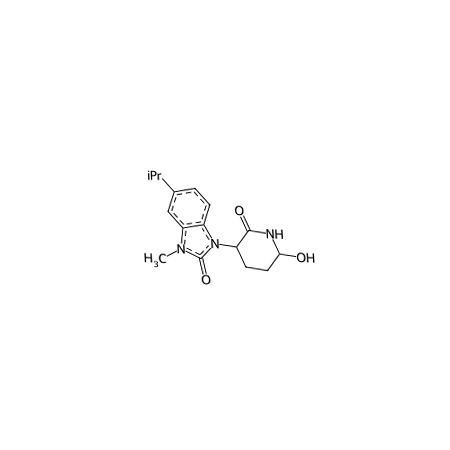 CC(C)c1ccc2c(c1)n(C)c(=O)n2C1CCC(O)NC1=O